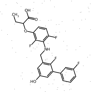 CCC(Oc1ccc(F)c(NCc2cc(O)cc(-c3cccc(F)c3)c2F)c1F)C(=O)O